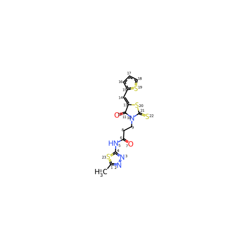 Cc1nnc(NC(=O)CCN2C(=O)/C(=C/c3cccs3)SC2=S)s1